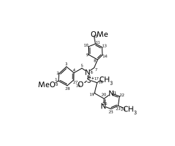 COc1ccc(CN(Cc2ccc(OC)cc2)[S+]([O-])C(C)Cc2ncc(C)cn2)cc1